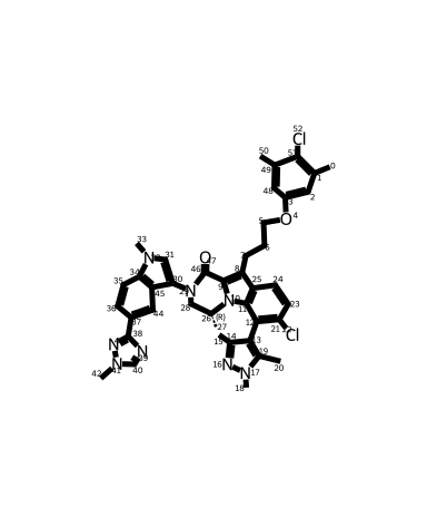 Cc1cc(OCCCc2c3n(c4c(-c5c(C)nn(C)c5C)c(Cl)ccc24)[C@H](C)CN(c2cn(C)c4ccc(-c5ncn(C)n5)cc24)C3=O)cc(C)c1Cl